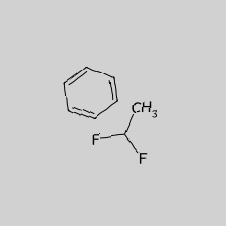 CC(F)F.c1ccccc1